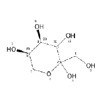 OCC1(O)OC[C@@H](O)[C@@H](O)[C]1O